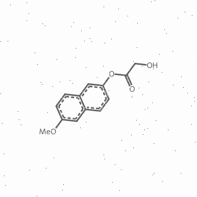 COc1ccc2cc(OC(=O)CO)ccc2c1